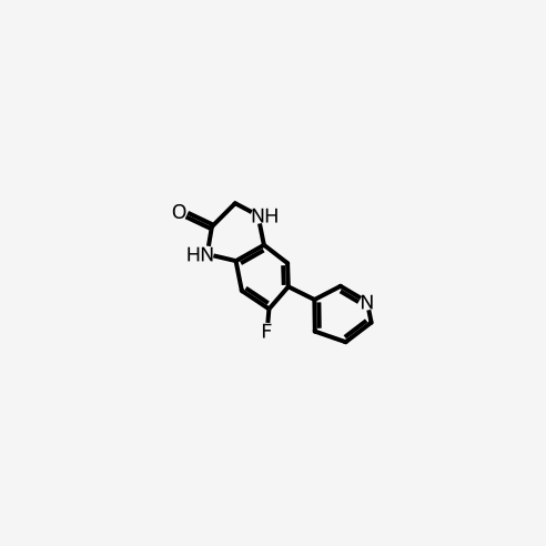 O=C1CNc2cc(-c3cccnc3)c(F)cc2N1